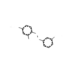 O=C(O)c1cccc(SSc2ccc(C(=O)O)cc2C(=O)O)c1